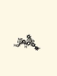 Cn1cc(-c2ccc(N(C(=O)NCc3ccccc3)C3CCC(Nc4ncc(C#N)c(NCCCO)n4)CC3)nc2)cn1